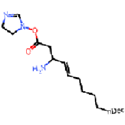 CCCCCCCCCCCCCCC=CC(N)CC(=O)ON1C=NCC1